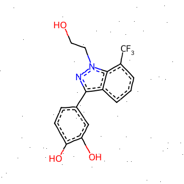 OCCn1nc(-c2ccc(O)c(O)c2)c2cccc(C(F)(F)F)c21